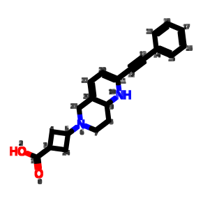 O=C(O)C1CC(N2CCC3NC(C#Cc4ccccc4)=CC=C3C2)C1